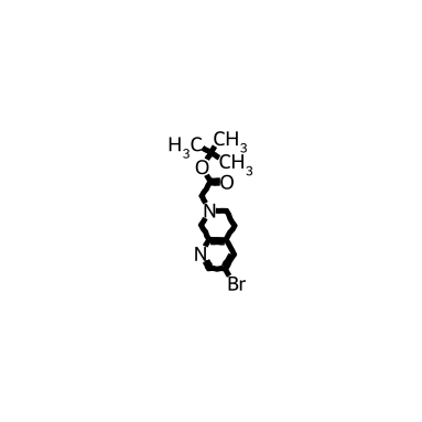 CC(C)(C)OC(=O)CN1CCc2cc(Br)cnc2C1